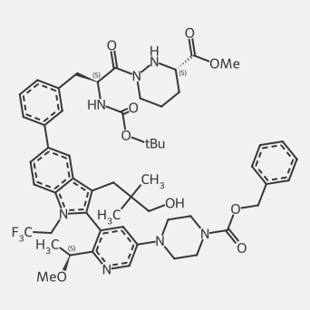 COC(=O)[C@@H]1CCCN(C(=O)[C@H](Cc2cccc(-c3ccc4c(c3)c(CC(C)(C)CO)c(-c3cc(N5CCN(C(=O)OCc6ccccc6)CC5)cnc3[C@H](C)OC)n4CC(F)(F)F)c2)NC(=O)OC(C)(C)C)N1